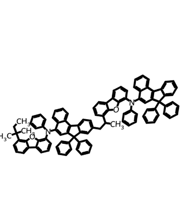 CCC(C)(C)c1cccc2c1oc1c(N(c3ccccc3)c3cc4c(c5ccccc35)-c3ccc(CC(C)c5cccc6c5oc5c(N(c7ccccc7)c7cc8c(c9ccccc79)-c7ccccc7C8(c7ccccc7)c7ccccc7)cccc56)cc3C4(c3ccccc3)c3ccccc3)cccc12